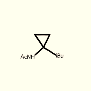 CCC(C)C1(NC(C)=O)CC1